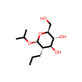 CCC[C@@H]1[C@@H](OC(C)C)O[C@@H](CO)[C@H](O)[C@H]1O